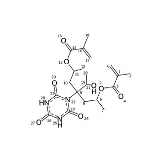 C=C(C)C(=O)OC(C)CC(CC(C)OC(=O)C(=C)C)(C(C)O)n1c(=O)[nH]c(=O)[nH]c1=O